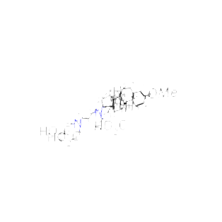 COc1ccc2c(c1)CC[C@@H]1[C@@H]2CC[C@]2(C)C(N(CCCN(CC(=O)O)CC(=O)O)CC(=O)O)CC[C@@H]12